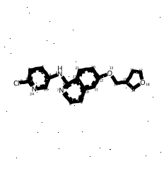 Clc1ccc(Nc2nccc3cc(OCC4CCOC4)ccc23)cn1